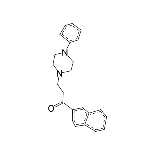 O=C(CCN1CCN(c2ccccc2)CC1)c1ccc2ccccc2c1